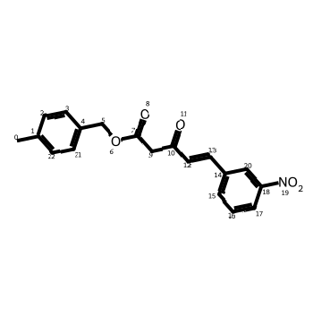 Cc1ccc(COC(=O)CC(=O)C=Cc2cccc([N+](=O)[O-])c2)cc1